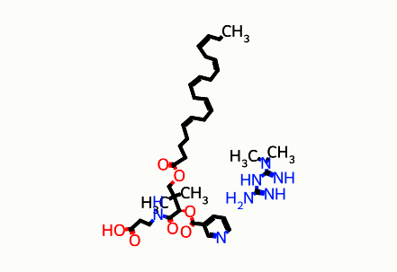 CC/C=C\C/C=C\C/C=C\C/C=C\C/C=C\CCCC(=O)OCC(C)(C)[C@@H](OC(=O)c1cccnc1)C(=O)NCCC(=O)O.CN(C)C(=N)NC(=N)N